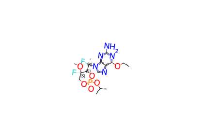 CCOc1nc(N)nc2c1ncn2[C@](C)(F)[C@@H]1OP(=O)(OC(C)C)OC[C@@]1(F)OC